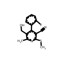 CSc1nc(C)c(CO)c(-c2ccccc2F)c1C#N